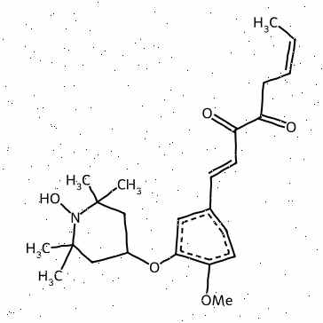 C/C=C\CC(=O)C(=O)/C=C/c1ccc(OC)c(OC2CC(C)(C)N(O)C(C)(C)C2)c1